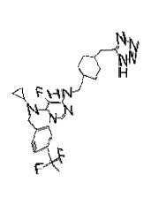 CC(F)(F)c1ccc(CN(c2ncnc(NCC3CCC(Cc4nnn[nH]4)CC3)c2F)C2CC2)cc1